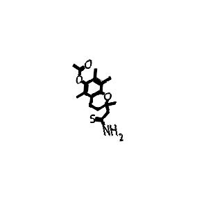 CC(=O)Oc1c(C)c(C)c2c(c1C)CCC(C)(CC(N)=S)O2